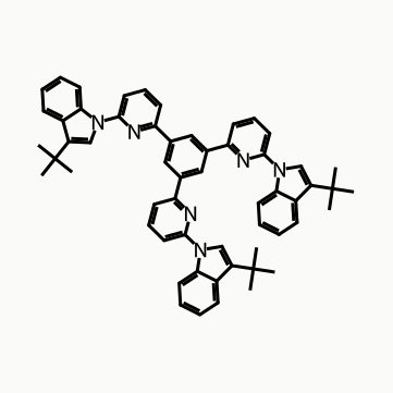 CC(C)(C)c1cn(-c2cccc(-c3cc(-c4cccc(-n5cc(C(C)(C)C)c6ccccc65)n4)cc(-c4cccc(-n5cc(C(C)(C)C)c6ccccc65)n4)c3)n2)c2ccccc12